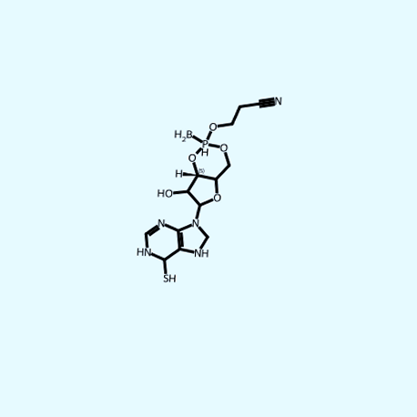 B[PH]1(OCCC#N)OCC2OC(N3CNC4=C3N=CNC4S)C(O)[C@@H]2O1